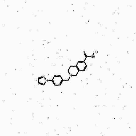 O=C(NO)c1ccc2c(c1)CCN(Cc1ccc(-n3cccn3)cc1)C2